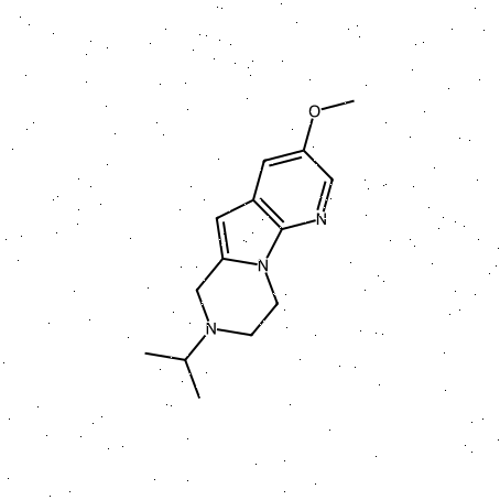 COc1cnc2c(c1)cc1n2CCN(C(C)C)C1